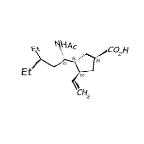 C=C[C@@H]1C[C@H](C(=O)O)C[C@H]1[C@H](CC(CC)CC)NC(C)=O